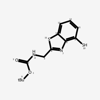 CC(C)(C)OC(=O)NCc1nc2c(S)cccc2s1